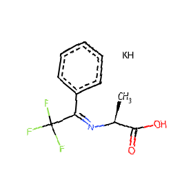 C[C@H](/N=C(\c1ccccc1)C(F)(F)F)C(=O)O.[KH]